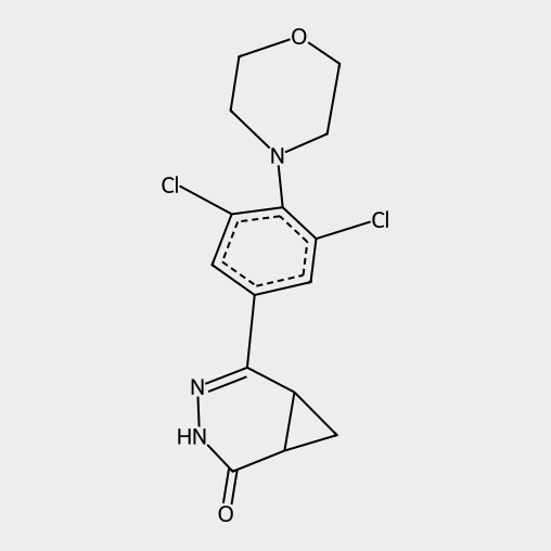 O=C1NN=C(c2cc(Cl)c(N3CCOCC3)c(Cl)c2)C2CC12